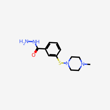 CN1CCN(Sc2cccc(C(=O)NN)c2)CC1